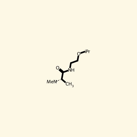 CN[C@@H](C)C(=O)NCCOC(C)C